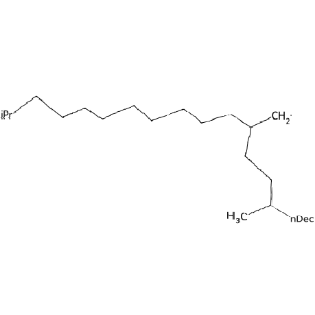 [CH2]C(CCCCCCCCCC(C)C)CCC(C)CCCCCCCCCC